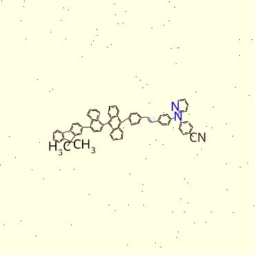 CC1(C)c2ccccc2-c2ccc(-c3ccc(-c4c5ccccc5c(-c5ccc(/C=C/c6ccc(N(c7ccc(C#N)cc7)c7ccccn7)cc6)cc5)c5ccccc45)c4ccccc34)cc21